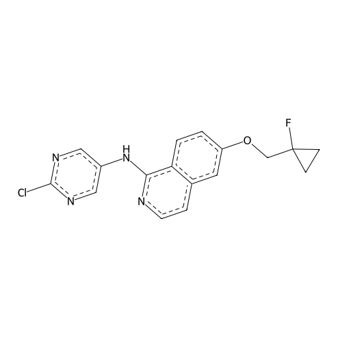 FC1(COc2ccc3c(Nc4cnc(Cl)nc4)nccc3c2)CC1